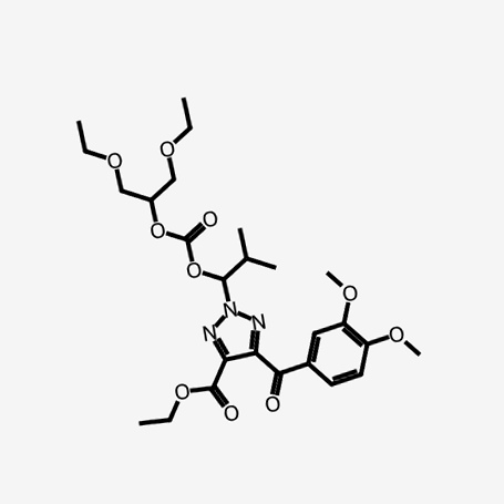 CCOCC(COCC)OC(=O)OC(C(C)C)n1nc(C(=O)OCC)c(C(=O)c2ccc(OC)c(OC)c2)n1